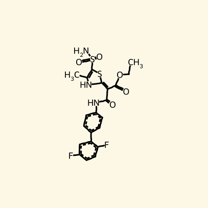 CCOC(=O)C(C(=O)Nc1ccc(-c2cc(F)ccc2F)cc1)=C1NC(C)=C(S(N)(=O)=O)S1